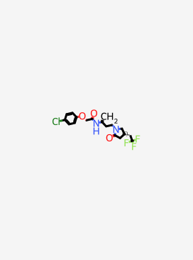 C=C(CCN1C[C@H](CC(F)(F)F)CC1=O)NC(=O)COc1ccc(Cl)cc1